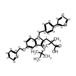 CC(C)(C)Sc1c(CC(C)(C)C(=O)O)n(Cc2ccc(-c3cncnc3)cc2)c2ccc(OCc3ccccn3)cc12